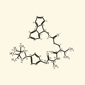 CC(C)[C@H](CCC(=O)OCC1c2ccccc2-c2ccccc21)C(=O)N[C@@H](C)C(=O)Nc1ccc(B2OC(C)(C)C(C)(C)O2)cc1